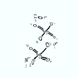 [Co+2].[LiH].[Ni+2].[O]=[Mn](=[O])([O-])[O-].[O]=[Mn](=[O])([O-])[O-]